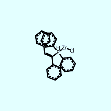 [Cl][Zr][PH](C(=Cc1ccccc1)c1ccccc1)(c1ccccc1)c1ccccc1